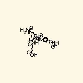 CC(=O)NOCc1ccc(NC(=O)[C@H](CCCNC(N)=O)NC(=O)[C@@H](NC(=O)CCCC(=O)O)C(C)C)cc1